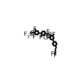 FC(F)=CCCc1ccc(-c2cc(F)c(OC(F)(F)c3ccc(-c4cc(F)c(OC(F)(F)F)c(F)c4)c(F)c3)c(Cl)c2)cc1